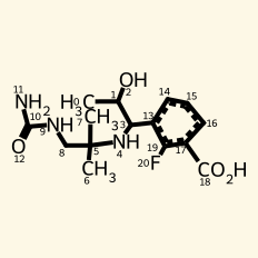 CC(O)C(NC(C)(C)CNC(N)=O)c1cccc(C(=O)O)c1F